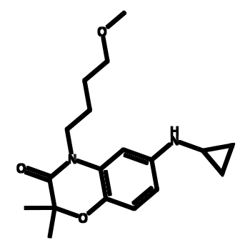 COCCCCN1C(=O)C(C)(C)Oc2ccc(NC3CC3)cc21